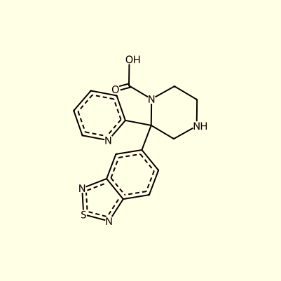 O=C(O)N1CCNCC1(c1ccc2nsnc2c1)c1ccccn1